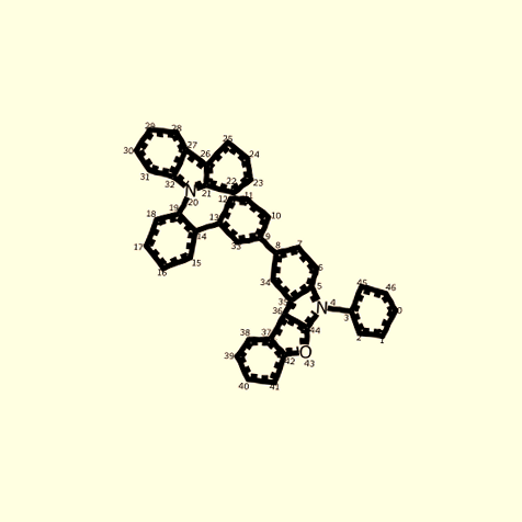 c1ccc(-n2c3ccc(-c4cccc(-c5ccccc5-n5c6ccccc6c6ccccc65)c4)cc3c3c4ccccc4oc32)cc1